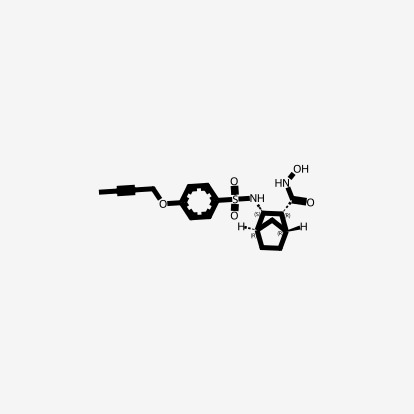 CC#CCOc1ccc(S(=O)(=O)N[C@H]2[C@@H]3CC[C@H](C3)[C@H]2C(=O)NO)cc1